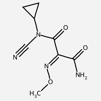 CON=C(C(N)=O)C(=O)N(C#N)C1CC1